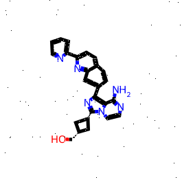 Nc1nccn2c1c(-c1ccc3ccc(-c4ccccn4)nc3c1)nc2[C@H]1C[C@@H](CO)C1